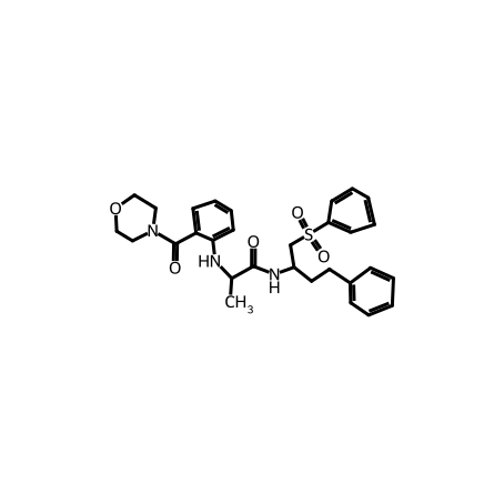 CC(Nc1ccccc1C(=O)N1CCOCC1)C(=O)NC(CCc1ccccc1)CS(=O)(=O)c1ccccc1